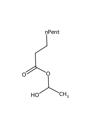 CCCCCCCC(=O)OC(C)O